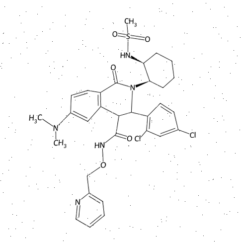 CN(C)c1ccc2c(c1)C(C(=O)NOCc1ccccn1)C(c1ccc(Cl)cc1Cl)N([C@@H]1CCCC[C@@H]1NS(C)(=O)=O)C2=O